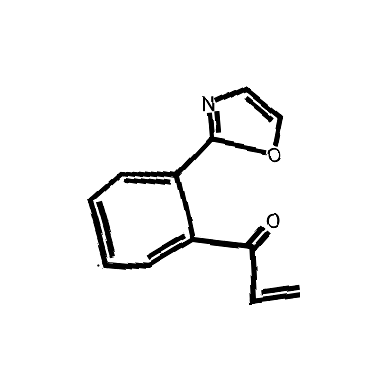 C=CC(=O)c1c[c]ccc1-c1ncco1